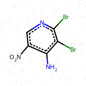 Nc1c([N+](=O)[O-])cnc(Br)c1Br